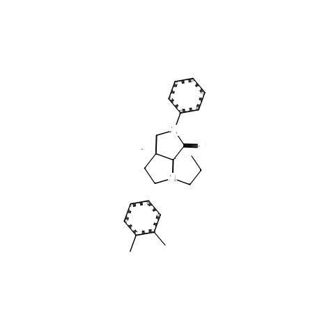 Cc1ccc([C@@H]2C[C@H]3CN(c4ccccc4)C(=O)[C@]34CCCN24)cc1C